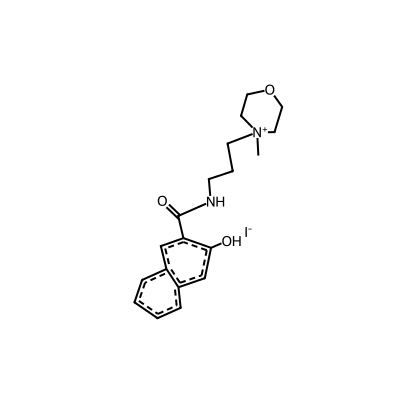 C[N+]1(CCCNC(=O)c2cc3ccccc3cc2O)CCOCC1.[I-]